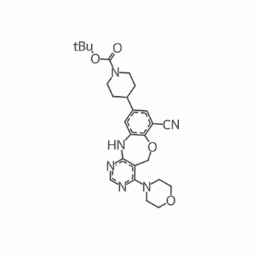 CC(C)(C)OC(=O)N1CCC(c2cc(C#N)c3c(c2)Nc2ncnc(N4CCOCC4)c2CO3)CC1